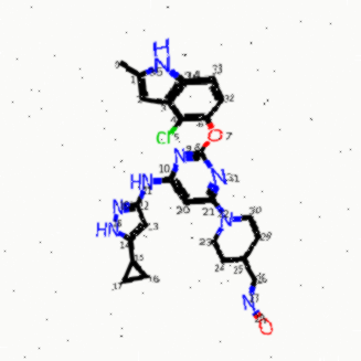 Cc1cc2c(Cl)c(Oc3nc(Nc4cc(C5CC5)[nH]n4)cc(N4CCC(CN=O)CC4)n3)ccc2[nH]1